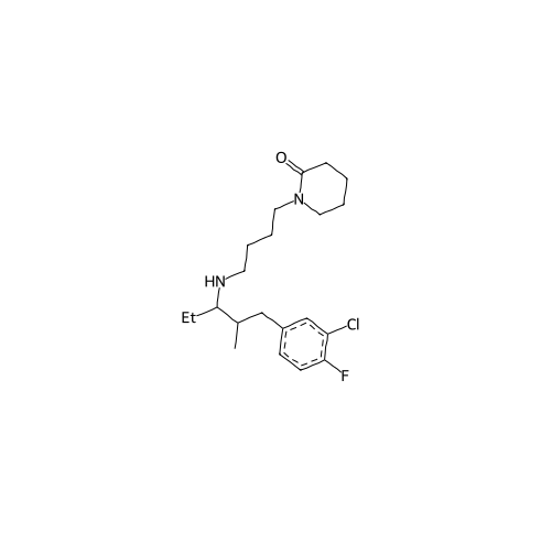 CCC(NCCCCN1CCCCC1=O)C(C)Cc1ccc(F)c(Cl)c1